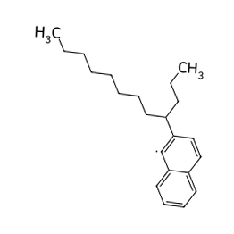 CCCCCCCCC(CCC)c1[c]c2ccccc2cc1